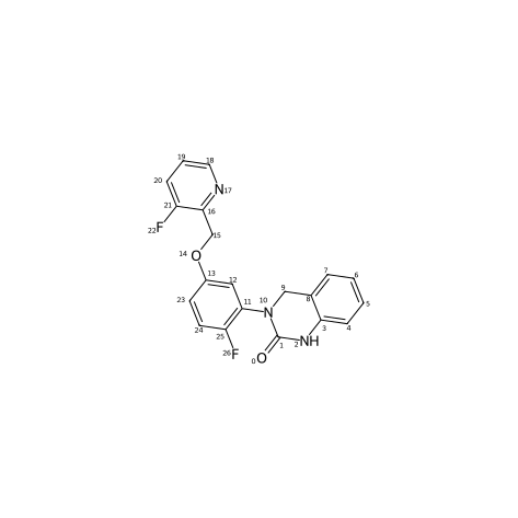 O=C1Nc2ccccc2CN1c1cc(OCc2ncccc2F)ccc1F